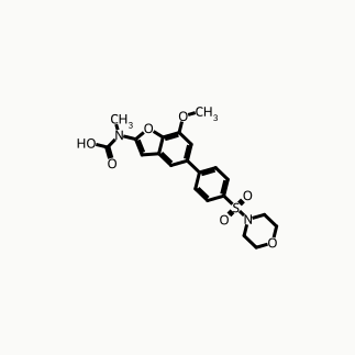 COc1cc(-c2ccc(S(=O)(=O)N3CCOCC3)cc2)cc2cc(N(C)C(=O)O)oc12